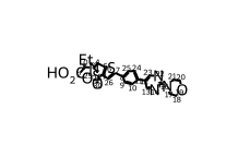 CCC(C(=O)O)N1Cc2sc(-c3ccc(-c4cnc(N5CCOCC5)nc4)cc3)cc2S1(=O)=O